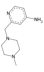 CN1CCN(Cc2cc(N)ccn2)CC1